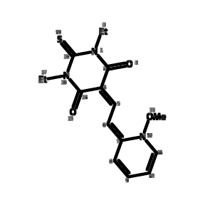 CCN1C(=O)C(=CC=C2C=CC=CN2OC)C(=O)N(CC)C1=S